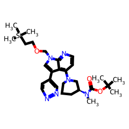 CN(C(=O)OC(C)(C)C)[C@H]1CCCN(c2ccnc3c2c(-c2ccnnc2)cn3COCC[Si](C)(C)C)C1